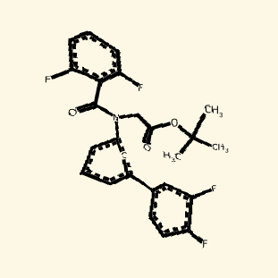 CC(C)(C)OC(=O)CN(C(=O)c1c(F)cccc1F)c1cccc(-c2ccc(F)c(F)c2)c1